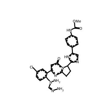 COC(=O)Nc1ccc(-c2cnc(C3CCc4nc(-c5cc(Cl)ccc5N(N)/C=N\N)cc(=O)n43)[nH]2)cc1